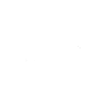 O=C(O)c1ccc(C[N+](=O)[O-])o1